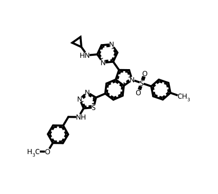 COc1ccc(CNc2nnc(-c3ccc4c(c3)c(-c3cncc(NC5CC5)n3)cn4S(=O)(=O)c3ccc(C)cc3)s2)cc1